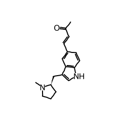 CC(=O)C=Cc1ccc2[nH]cc(C[C@H]3CCCN3C)c2c1